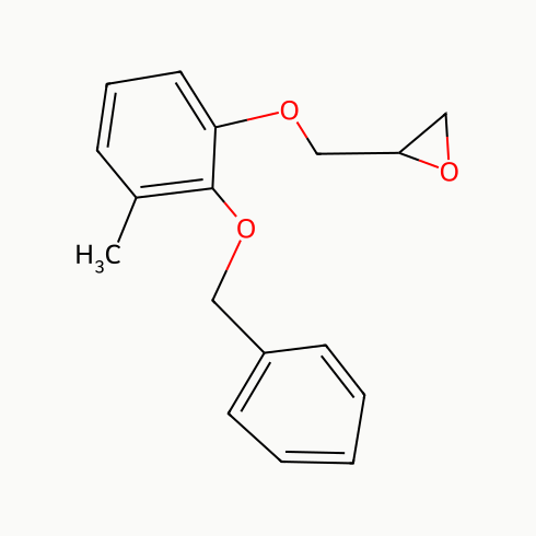 Cc1cccc(OCC2CO2)c1OCc1ccccc1